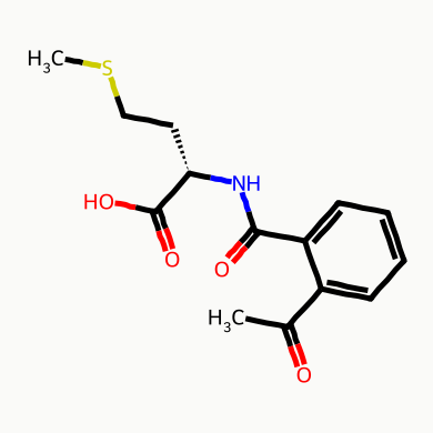 CSCC[C@H](NC(=O)c1ccccc1C(C)=O)C(=O)O